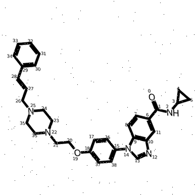 O=C(NC1CC1)c1ccc2c(c1)ncn2-c1ccc(OCCN2CCN(CC=Cc3ccccc3)CC2)cc1